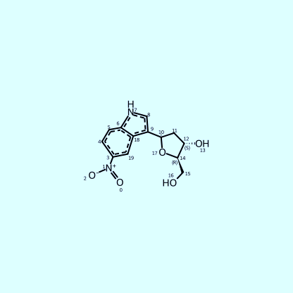 O=[N+]([O-])c1ccc2[nH]cc([C]3C[C@H](O)[C@@H](CO)O3)c2c1